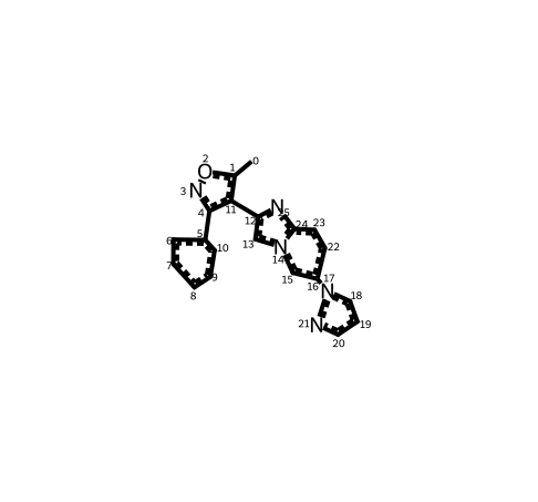 Cc1onc(-c2ccccc2)c1-c1cn2cc(-n3cccn3)ccc2n1